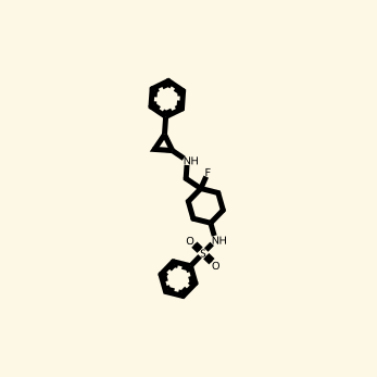 O=S(=O)(NC1CCC(F)(CNC2CC2c2ccccc2)CC1)c1ccccc1